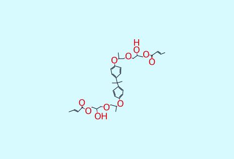 CC=CC(=O)OCC(O)COCC(C)Oc1ccc(C(C)(C)c2ccc(OC(C)COCC(O)COC(=O)C=CC)cc2)cc1